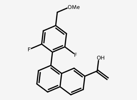 C=C(O)c1ccc2cccc(-c3c(F)cc(COC)cc3F)c2c1